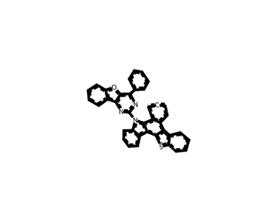 c1ccc(-c2nc(-n3c4ccccc4c4c5sc6ccccc6c5c5ccccc5c43)nc3c2oc2ccccc23)cc1